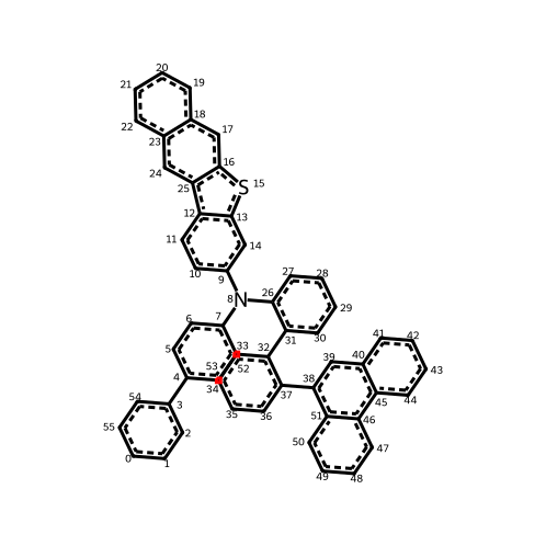 c1ccc(-c2ccc(N(c3ccc4c(c3)sc3cc5ccccc5cc34)c3ccccc3-c3ccccc3-c3cc4ccccc4c4ccccc34)cc2)cc1